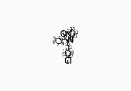 O=c1c(-c2ccccc2)c(C=Cc2ccc(Cl)cc2)nc2ccccn12